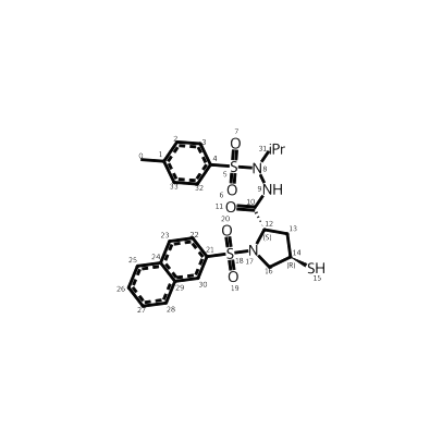 Cc1ccc(S(=O)(=O)N(NC(=O)[C@@H]2C[C@@H](S)CN2S(=O)(=O)c2ccc3ccccc3c2)C(C)C)cc1